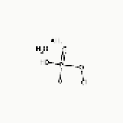 O.O=P(O)(O)OCl.[AlH3]